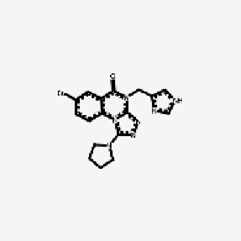 O=c1c2cc(Br)ccc2n2c(N3CCCC3)nnc2n1Cc1c[nH]cn1